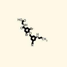 CCCNc1cc(C#N)cc(COc2c(Br)cc(C(=O)NCC(=O)O)cc2Br)c1